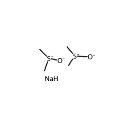 C[S+](C)[O-].C[S+](C)[O-].[NaH]